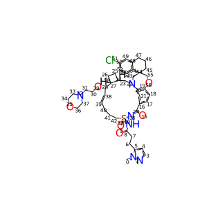 Cn1nccc1CCC(=O)N[S@@]1(=O)=NC(=O)c2ccc3c(c2)N(C[C@@H]2CC[C@H]2[C@@H](OCCN2CCOCC2)/C=C/CCC1)C[C@@]1(CCCc2cc(Cl)ccc21)CO3